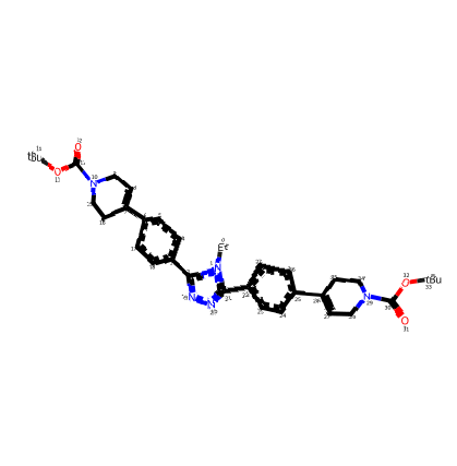 CCn1c(-c2ccc(C3=CCN(C(=O)OC(C)(C)C)CC3)cc2)nnc1-c1ccc(C2=CCN(C(=O)OC(C)(C)C)CC2)cc1